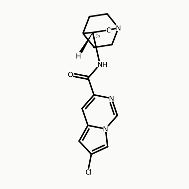 O=C(N[C@H]1CN2CCC1CC2)c1cc2cc(Cl)cn2cn1